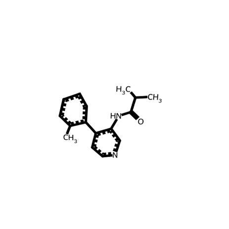 Cc1ccccc1-c1ccncc1NC(=O)C(C)C